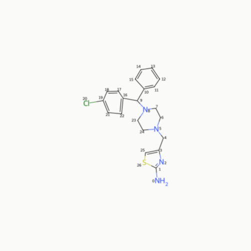 Nc1nc(CN2CCN(C(c3ccccc3)c3ccc(Cl)cc3)CC2)cs1